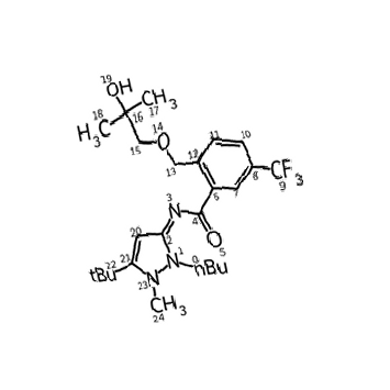 CCCCn1c(=NC(=O)c2cc(C(F)(F)F)ccc2COCC(C)(C)O)cc(C(C)(C)C)n1C